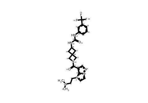 CN(C)CCn1ccn2ncc(C(=O)N3CC4(CC(NC(=O)Nc5cccc(C(F)(F)F)c5)C4)C3)c12